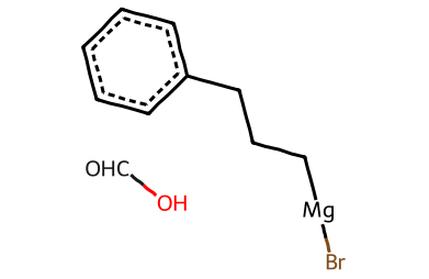 O=CO.[Br][Mg][CH2]CCc1ccccc1